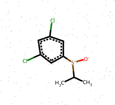 CC(C)[S+]([O-])c1cc(Cl)cc(Cl)c1